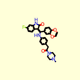 CN1CCN(C(=O)Cc2ccc(NC(=C3C(=O)Nc4cc(F)ccc43)c3ccc4c(c3)OC=CO4)cc2)CC1